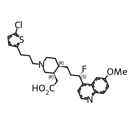 COc1ccc2nccc([C@@H](F)CC[C@@H]3CCN(CCCc4ccc(Cl)s4)C[C@@H]3CC(=O)O)c2c1